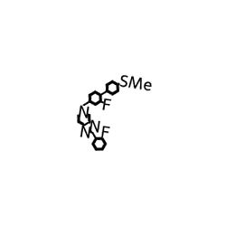 CSc1ccc(-c2ccc(Cn3ccc4nc(-c5ccccc5F)nc-4c3)cc2F)cc1